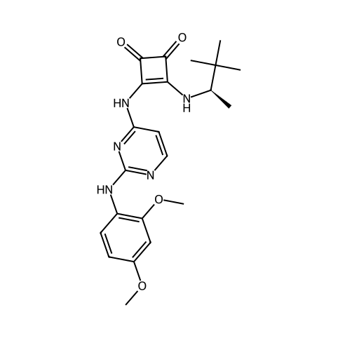 COc1ccc(Nc2nccc(Nc3c(N[C@H](C)C(C)(C)C)c(=O)c3=O)n2)c(OC)c1